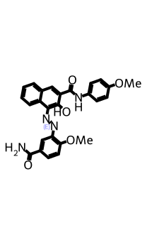 COc1ccc(NC(=O)c2cc3ccccc3c(/N=N/c3cc(C(N)=O)ccc3OC)c2O)cc1